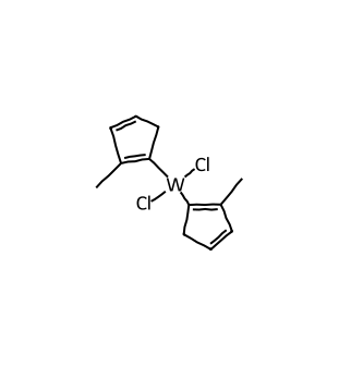 CC1=[C]([W]([Cl])([Cl])[C]2=C(C)C=CC2)CC=C1